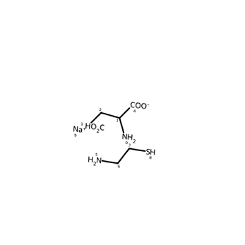 NC(CC(=O)O)C(=O)[O-].NCCS.[Na+]